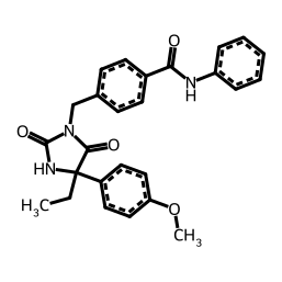 CCC1(c2ccc(OC)cc2)NC(=O)N(Cc2ccc(C(=O)Nc3ccccc3)cc2)C1=O